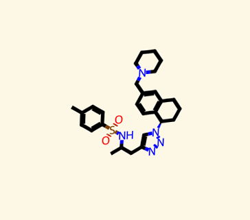 Cc1ccc(S(=O)(=O)NC(C)Cc2cn([C@@H]3CCCc4cc(CN5CCCCC5)ccc43)nn2)cc1